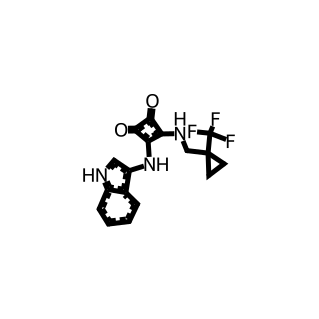 O=c1c(NCC2(C(F)(F)F)CC2)c(Nc2c[nH]c3ccccc23)c1=O